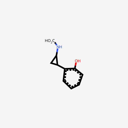 O=C(O)NC1CC1c1ccccc1O